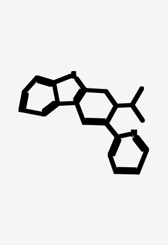 CC(C)C1Cc2sc3ccccc3c2C=C1c1ccccn1